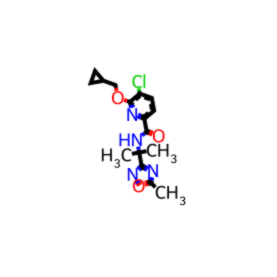 Cc1nc(C(C)(C)NC(=O)c2ccc(Cl)c(OCC3CC3)n2)no1